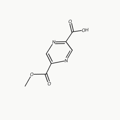 COC(=O)c1cnc(C(=O)O)cn1